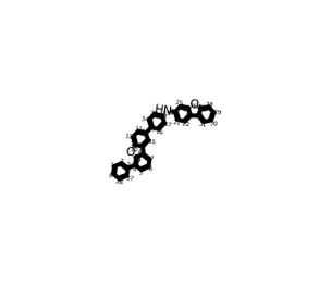 c1ccc(-c2cccc3c2oc2ccc(-c4ccc(Nc5ccc6c(c5)oc5ccccc56)cc4)cc23)cc1